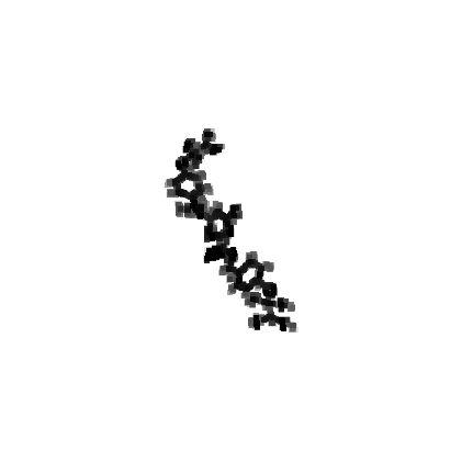 FC(F)C(F)(F)Oc1ccc(/C=N/Nc2nc(Cl)cc(Nc3ccc(OC(F)(F)C(F)F)cc3)n2)cc1